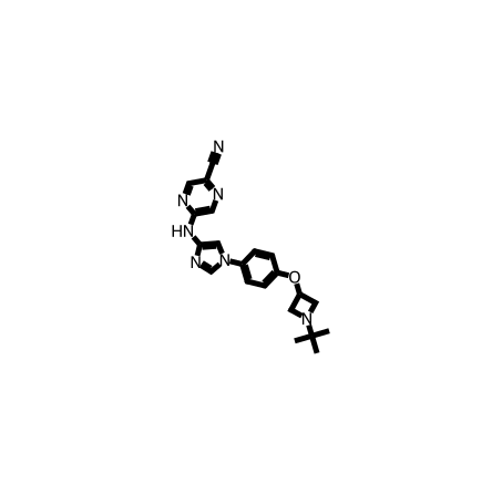 CC(C)(C)N1CC(Oc2ccc(-n3cnc(Nc4cnc(C#N)cn4)c3)cc2)C1